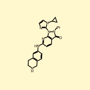 CC(C)n1c(=O)c2ccc(Nc3ccc4c(c3)CCNC4)nc2n1-c1nccn1C1CC1